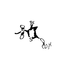 CS(=O)(=O)c1sc(OC(=O)O)cc1Br